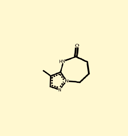 Cc1cnn2c1NC(=O)CCC2